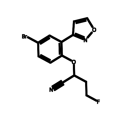 N#CC(CCF)Oc1ccc(Br)cc1-c1ccon1